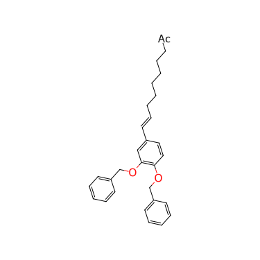 CC(=O)CCCCCCC=Cc1ccc(OCc2ccccc2)c(OCc2ccccc2)c1